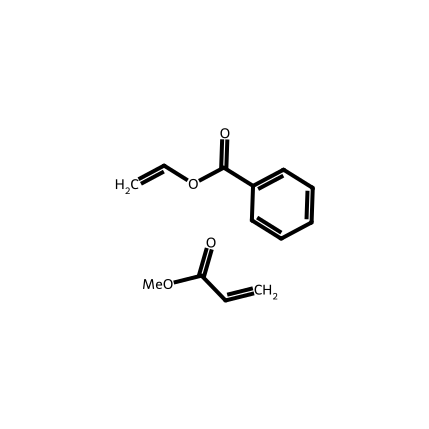 C=CC(=O)OC.C=COC(=O)c1ccccc1